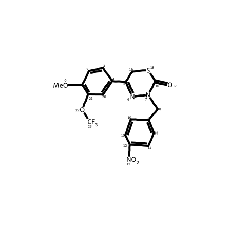 COc1ccc(C2=NN(Cc3ccc([N+](=O)[O-])cc3)C(=O)SC2)cc1OC(F)(F)F